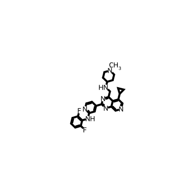 CN1CCC(NCc2nc(-c3ccnc(Nc4c(F)cccc4F)c3)nc3cncc(C4CC4)c23)CC1